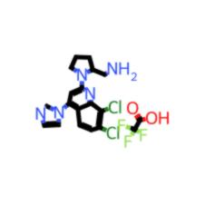 NCC1CCCN1c1cc(-n2ccnc2)c2ccc(Cl)c(Cl)c2n1.O=C(O)C(F)(F)F